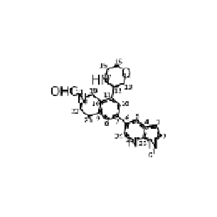 Cn1ccc2cc(-c3cc4c(c(C5COCCN5)c3)CN(C=O)CC4)cnc21